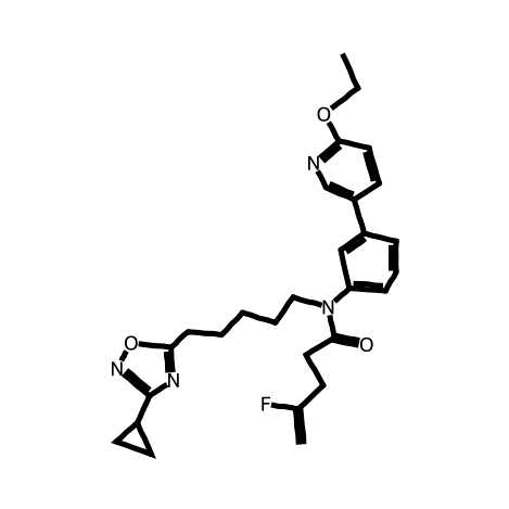 C=C(F)CCC(=O)N(CCCCCc1nc(C2CC2)no1)c1cccc(-c2ccc(OCC)nc2)c1